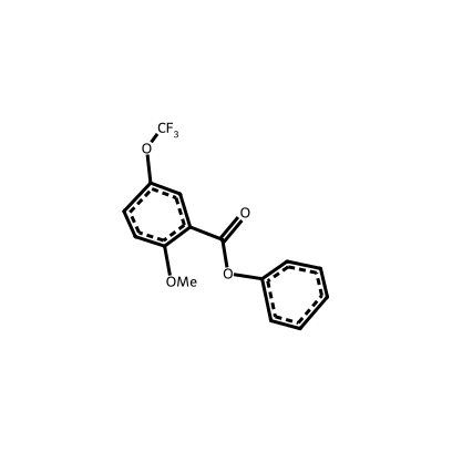 COc1ccc(OC(F)(F)F)cc1C(=O)Oc1ccccc1